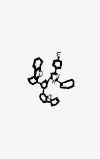 Fc1ccc(-c2cc(-c3cc(-c4cccc5c4oc4ccccc45)cc(-c4cccc5c4oc4ccccc45)c3)nc(-c3ccccc3)n2)cc1